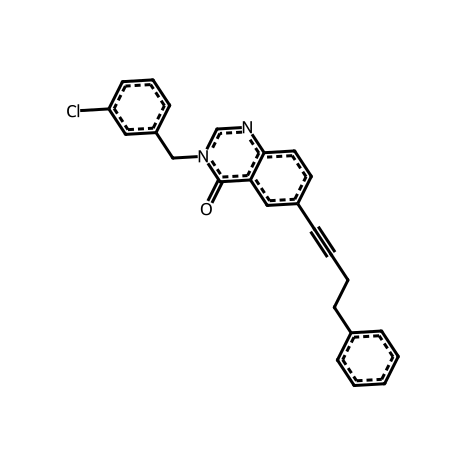 O=c1c2cc(C#CCCc3ccccc3)ccc2ncn1Cc1cccc(Cl)c1